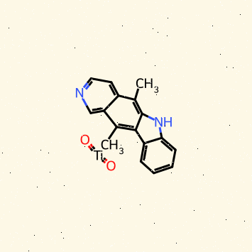 Cc1c2ccncc2c(C)c2c1[nH]c1ccccc12.[O]=[Ti]=[O]